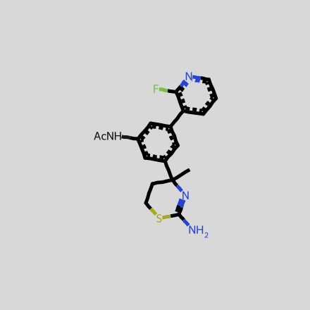 CC(=O)Nc1cc(-c2cccnc2F)cc(C2(C)CCSC(N)=N2)c1